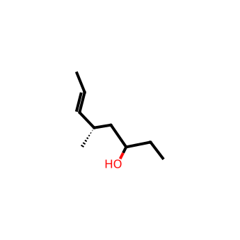 C/C=C/[C@@H](C)CC(O)CC